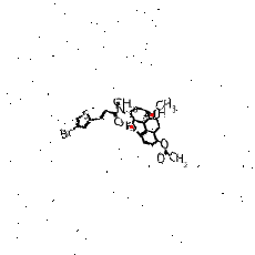 CC(=O)Oc1ccc2c3c1C[C@@H]1[C@@H]4CC[C@@H](N(C)C(=O)/C=C/c5cc(Br)cs5)[C@H](O2)[C@]34CCN1C